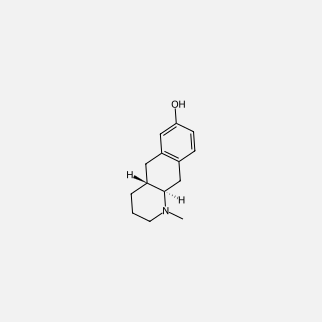 CN1CCC[C@@H]2Cc3cc(O)ccc3C[C@H]21